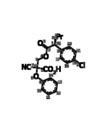 CC(C)[C@H](C(=O)OCC(C#N)(Oc1ccccc1)C(=O)O)c1ccc(Cl)cc1